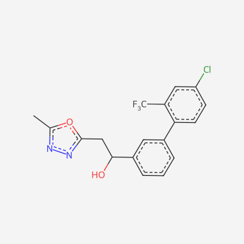 Cc1nnc(CC(O)c2cccc(-c3ccc(Cl)cc3C(F)(F)F)c2)o1